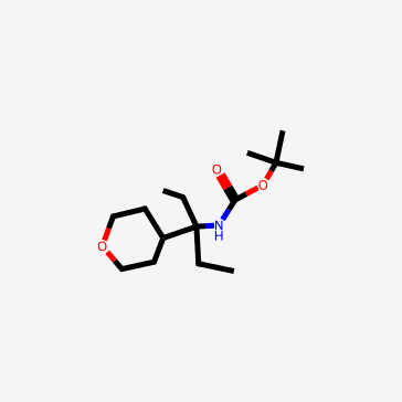 CCC(CC)(NC(=O)OC(C)(C)C)C1CCOCC1